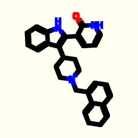 O=c1[nH]cccc1-c1[nH]c2ccccc2c1C1CCN(Cc2cccc3c2=CCCC=3)CC1